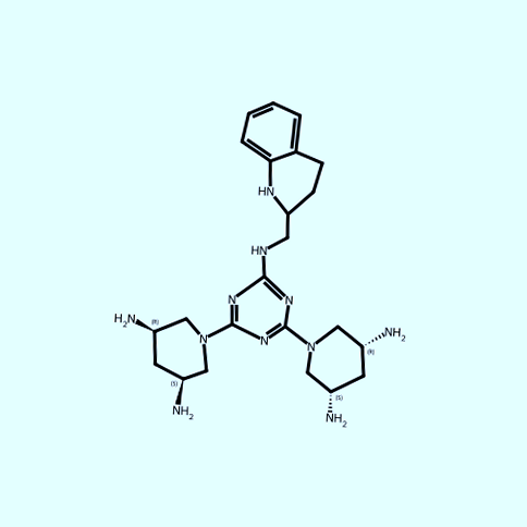 N[C@@H]1C[C@H](N)CN(c2nc(NCC3CCc4ccccc4N3)nc(N3C[C@H](N)C[C@H](N)C3)n2)C1